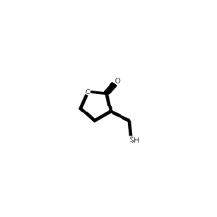 O=C1OCCC1CS